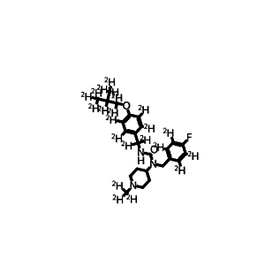 [2H]c1c([2H])c(CN(C(=O)NC([2H])([2H])c2c([2H])c([2H])c(OC([2H])([2H])C([2H])(C([2H])([2H])[2H])C([2H])([2H])[2H])c([2H])c2[2H])C2CCN(C([2H])([2H])[2H])CC2)c([2H])c([2H])c1F